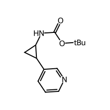 CC(C)(C)OC(=O)NC1CC1c1cccnc1